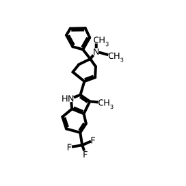 Cc1c(C2=CCC(c3ccccc3)(N(C)C)CC2)[nH]c2ccc(C(F)(F)F)cc12